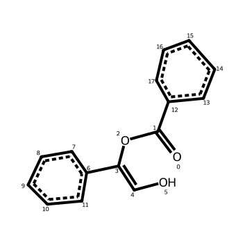 O=C(OC(=CO)c1ccccc1)c1ccccc1